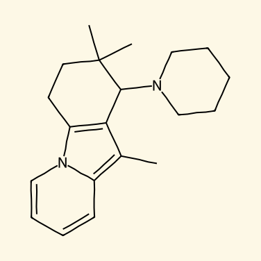 Cc1c2c(n3ccccc13)CCC(C)(C)C2N1CCCCC1